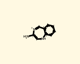 NC1=CNc2ccccc2C=N1